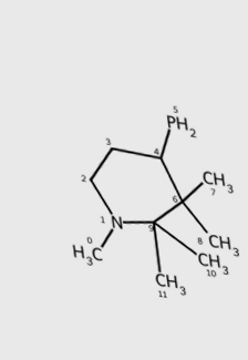 CN1CCC(P)C(C)(C)C1(C)C